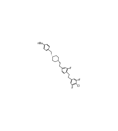 CCCCc1ccc(CC[C@H]2CC[C@H](CCc3ccc(CCc4cc(F)c(Cl)c(F)c4)c(F)c3)CC2)cc1